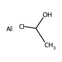 CC(O)Cl.[Al]